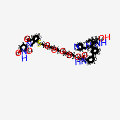 O=C1CCC(N2Cc3c(SCCOCCOCCOCCOCCOCC(=O)Nc4cccc(-c5ccc6c(c5)[C@H]5[C@H](CCN5Cc5ccncc5)[C@@H](CO)N6)c4)cccc3C2=O)C(=O)N1